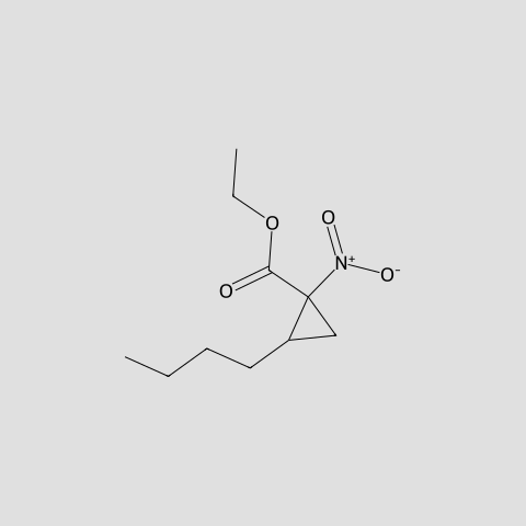 CCCCC1CC1(C(=O)OCC)[N+](=O)[O-]